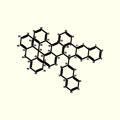 c1ccc(-c2cc3ccccc3cc2N(c2ccc3ccccc3c2)c2ccc3c4c(cccc24)C2(c4ccccc4Sc4ccccc42)c2ccccc2-3)cc1